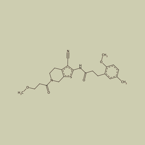 COCCC(=O)N1CCc2c(sc(NC(=O)CCc3cc(C)ccc3OC)c2C#N)C1